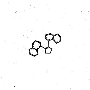 c1ccc2c(C3=C(c4cccc5ccccc45)CCC3)cccc2c1